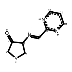 O=C1CSCC1N=Cc1ncccn1